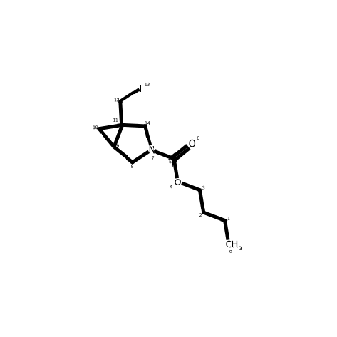 CCCCOC(=O)N1CC2CC2(CI)C1